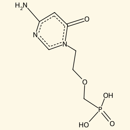 Nc1cc(=O)n(CCOCP(=O)(O)O)cn1